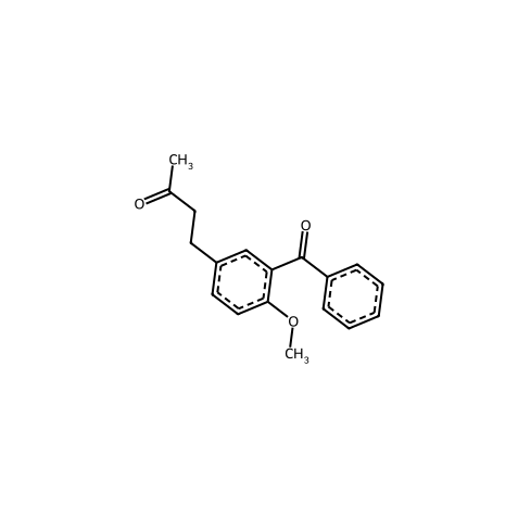 COc1ccc(CCC(C)=O)cc1C(=O)c1ccccc1